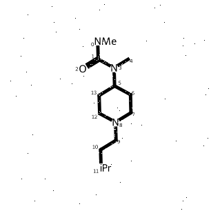 CNC(=O)N(C)C1CCN(CCC(C)C)CC1